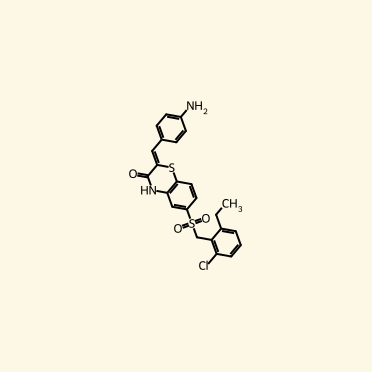 CCc1cccc(Cl)c1CS(=O)(=O)c1ccc2c(c1)NC(=O)/C(=C/c1ccc(N)cc1)S2